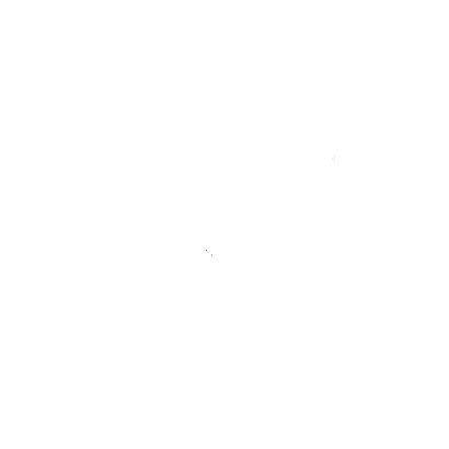 OCCc1cc2ccccc2nc1-c1ccccc1